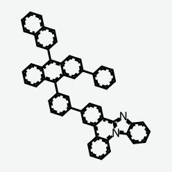 c1ccc(-c2ccc3c(-c4ccc5ccccc5c4)c4ccccc4c(-c4cccc(-c5ccc6c(c5)c5ccccc5n5c7ccccc7nc65)c4)c3c2)cc1